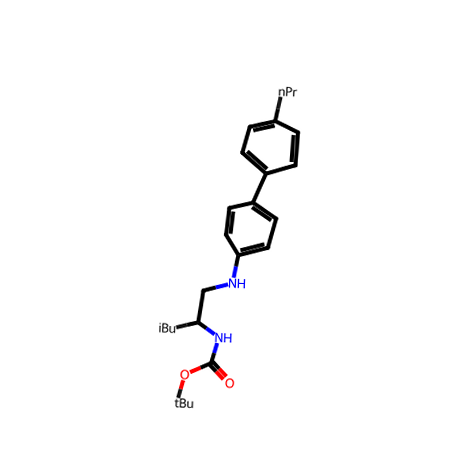 CCCc1ccc(-c2ccc(NCC(NC(=O)OC(C)(C)C)C(C)CC)cc2)cc1